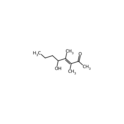 CCCC(O)/C(C)=C(\C)C(C)=O